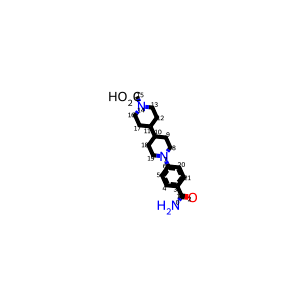 NC(=O)c1ccc(N2CCC(C3CCN(C(=O)O)CC3)CC2)cc1